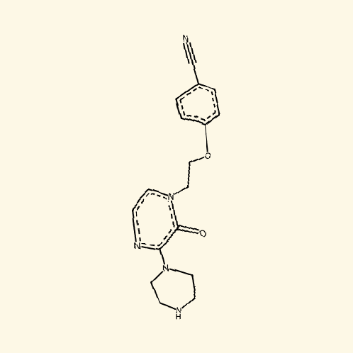 N#Cc1ccc(OCCn2ccnc(N3CCNCC3)c2=O)cc1